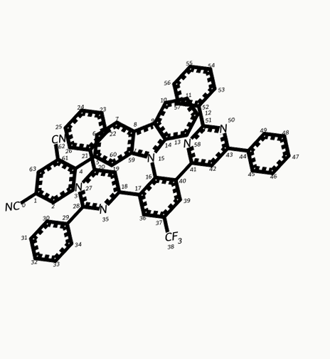 N#Cc1ccc(-c2ccc3c4ccccc4n(-c4c(-c5cc(-c6ccccc6)nc(-c6ccccc6)n5)cc(C(F)(F)F)cc4-c4cc(-c5ccccc5)nc(-c5ccccc5)n4)c3c2)c(C#N)c1